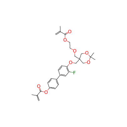 C=C(C)C(=O)OCCOCC1(COc2ccc(-c3ccc(OC(=O)C(=C)C)cc3)cc2F)COC(C)(C)OC1